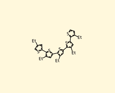 CCc1csc(-c2sc(-c3sc(-c4sc(-c5sccc5CC)cc4CC)cc3CC)cc2CC)c1